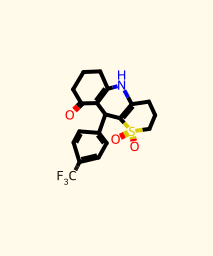 O=C1CCCC2=C1C(c1ccc(C(F)(F)F)cc1)C1=C(CCCS1(=O)=O)N2